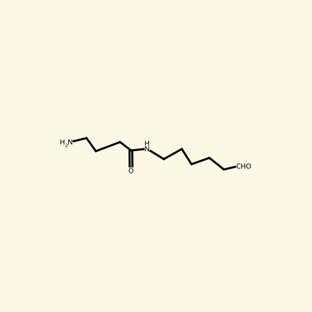 NCCCC(=O)NCCCCCC=O